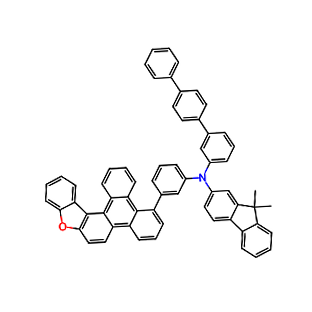 CC1(C)c2ccccc2-c2ccc(N(c3cccc(-c4ccc(-c5ccccc5)cc4)c3)c3cccc(-c4cccc5c6ccc7oc8ccccc8c7c6c6ccccc6c45)c3)cc21